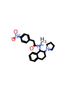 CN(C(=O)Cc1ccc([N+](=O)[O-])cc1)C1c2ccccc2CCC1N1CCCC1